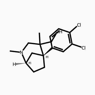 CN1CC(C)(CO)[C@]2(c3ccc(Cl)c(Cl)c3)CC[C@@H]1C2